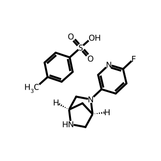 Cc1ccc(S(=O)(=O)O)cc1.Fc1ccc(N2C[C@H]3C[C@@H]2CN3)cn1